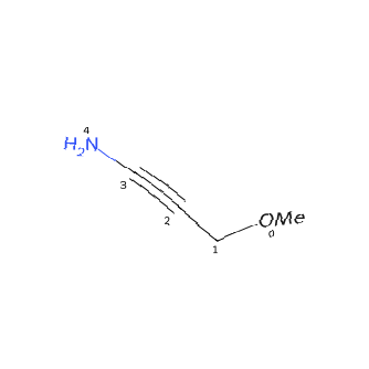 COCC#CN